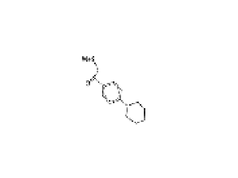 CSCC(=O)c1ccc(C2CCCCC2)cc1